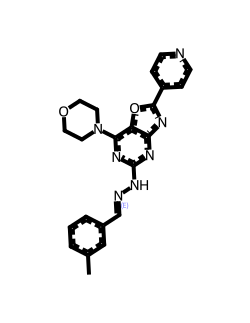 Cc1cccc(/C=N/Nc2nc(N3CCOCC3)c3oc(-c4ccncc4)nc3n2)c1